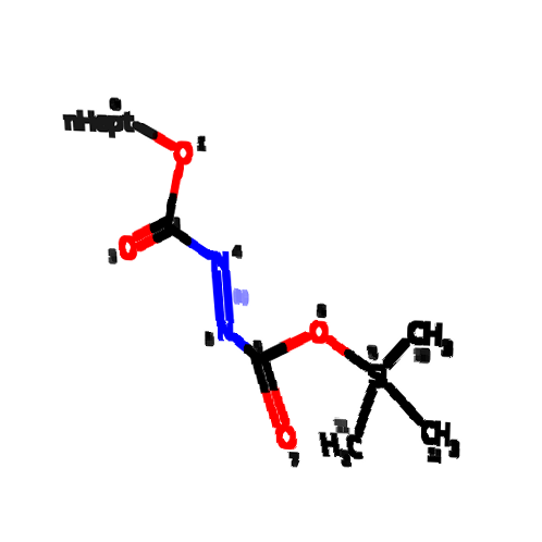 CCCCCCCOC(=O)/N=N/C(=O)O[Si](C)(C)C